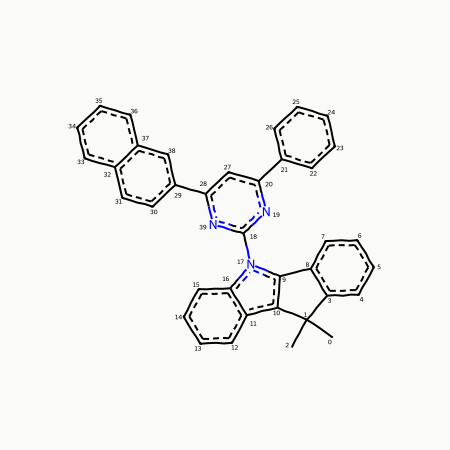 CC1(C)c2ccccc2-c2c1c1ccccc1n2-c1nc(-c2ccccc2)cc(-c2ccc3ccccc3c2)n1